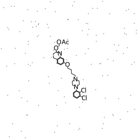 CC(=O)OCOC1=Nc2cc(OCCCCN3CCN(c4cccc(Cl)c4Cl)CC3)ccc2CC1